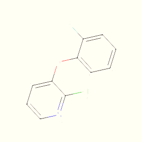 Fc1ccccc1Oc1cccnc1Cl